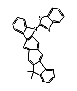 CC1(C)c2ccccc2-c2cc3cc4c(cc3cc21)c1ccccc1n4-c1nc2ccccc2s1